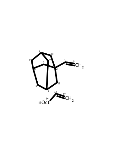 C=CC12CC3CC(CC(C3)C1)C2.C=CCCCCCCCC